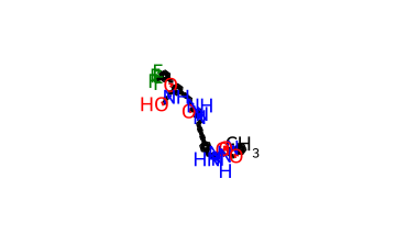 CN1C(=O)[C@@H](NC(=O)c2n[nH]c(Cc3ccc(C#CC#CCCn4cc(C(=O)NCCC#Cc5ccc(OCc6ccc(F)c(C(F)(F)F)c6)c(CNCCO)c5)cn4)cc3)n2)COc2ccccc21